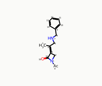 CC(=O)N1C/C(=C(/C)CNCc2ccccc2)C1=O